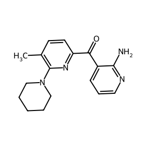 Cc1ccc(C(=O)c2cccnc2N)nc1N1CCCCC1